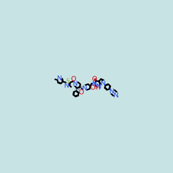 Cc1ccc(-c2nc(C)c(C(=O)N3CC[C@@H](C(=O)N4CCC(O)(Cn5cnc6c(ccn6-c6ccc(N7CCN(C)CC7)cc6)c5=O)CC4)[C@H](c4ccccc4)C3)s2)cn1